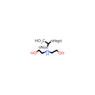 CCCCCCCCCC(CCCCCCC)C(=O)O.OCCNCCO